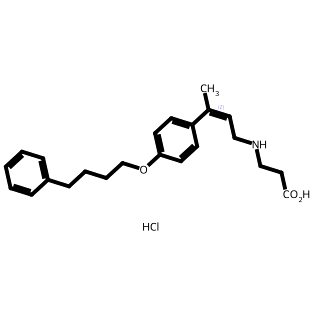 C/C(=C/CNCCC(=O)O)c1ccc(OCCCCc2ccccc2)cc1.Cl